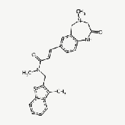 Cc1c(CN(C)C(=O)/C=C/c2ccc3c(c2)CN(C)CC(=O)N3)sc2ccccc12